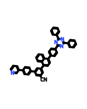 N#Cc1cc(-c2ccc(-c3cccnc3)cc2)cc(-c2ccc(-c3ccc(-c4nc(-c5ccccc5)nc(-c5ccccc5)n4)cc3)c3ccccc23)c1